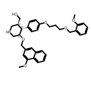 COc1ccccc1COCCCOc1ccc([C@H]2[C@H](CO)CNC[C@@H]2OCc2cc(OC)c3ccccc3c2)cc1